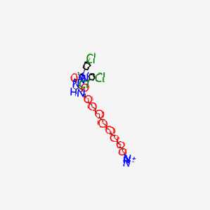 Cc1c(C(=O)N2CCCC(C(=O)NCCOCCOCCOCCOCCOCCOCCOCCOCCN=[N+]=[N-])C2)nn(-c2ccc(Cl)cc2Cl)c1-c1ccc(Cl)cc1